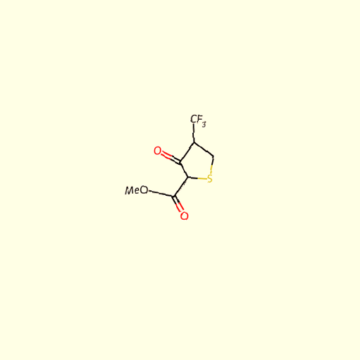 COC(=O)C1SCC(C(F)(F)F)C1=O